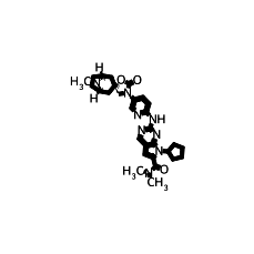 CN(C)C(=O)c1cc2cnc(Nc3ccc(N4C[C@]5(C[C@H]6CC[C@@H](C5)N6C)OC4=O)cn3)nc2n1C1CCCC1